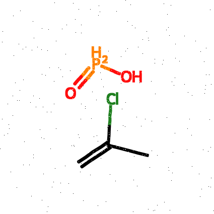 C=C(C)Cl.O=[PH2]O